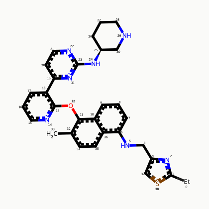 CCc1nc(CNc2cccc3c(Oc4ncccc4-c4ccnc(N[C@H]5CCCNC5)n4)c(C)ccc23)cs1